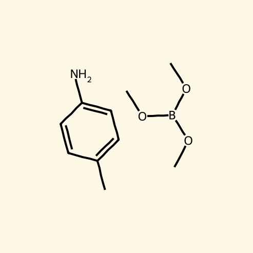 COB(OC)OC.Cc1ccc(N)cc1